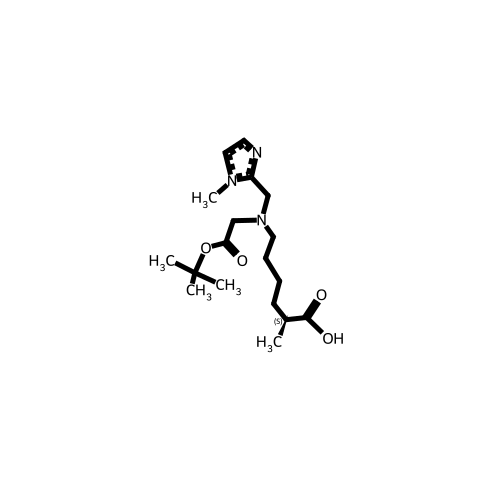 C[C@@H](CCCCN(CC(=O)OC(C)(C)C)Cc1nccn1C)C(=O)O